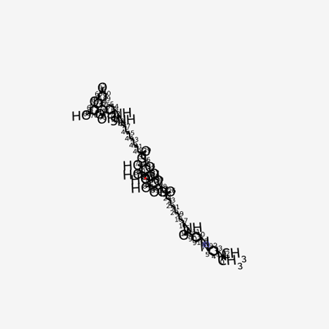 CN(C)c1ccc(/N=N/c2ccc(C(=O)NCCCCCCCCCC(=O)OCC3OC(OC4OC(COC(=O)CCCCCCCCCNC(=S)Nc5ccc(-c6c7ccc(=O)cc-7oc7cc(O)ccc67)c(C(=O)O)c5)C(O)C(O)C4O)C(O)C(O)C3O)cc2)cc1